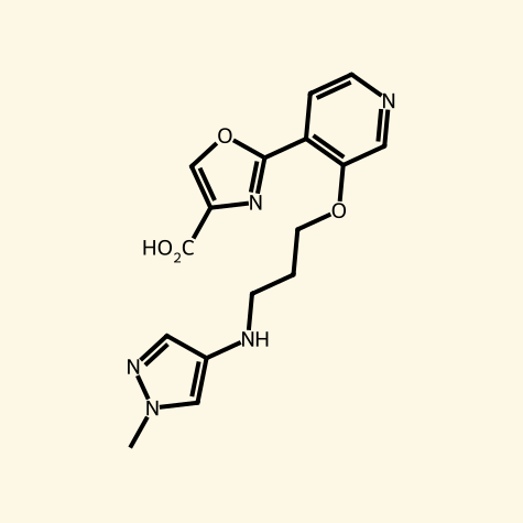 Cn1cc(NCCCOc2cnccc2-c2nc(C(=O)O)co2)cn1